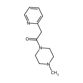 CN1CCN(C(=O)Cc2ccccn2)CC1